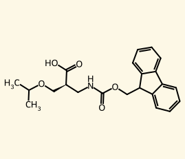 CC(C)OC[C@H](CNC(=O)OCC1c2ccccc2-c2ccccc21)C(=O)O